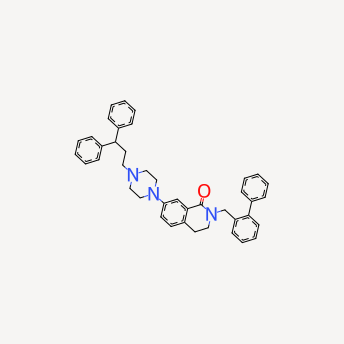 O=C1c2cc(N3CCN(CCC(c4ccccc4)c4ccccc4)CC3)ccc2CCN1Cc1ccccc1-c1ccccc1